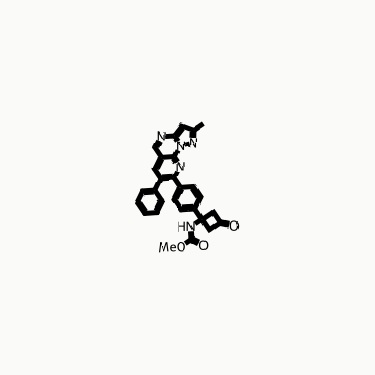 COC(=O)NC1(c2ccc(-c3nc4c(cnc5cc(C)nn54)cc3-c3ccccc3)cc2)CC(=O)C1